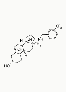 C[C@]12CC[C@H]3[C@@H](CC=C4C[C@@H](O)CC[C@@]43C)[C@@H]1CC[C@@H]2NCc1cccc(C(F)(F)F)c1